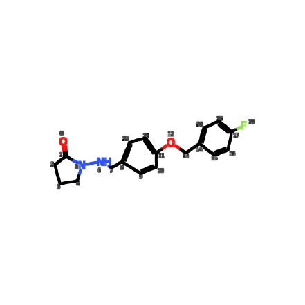 O=C1CCCN1NCc1ccc(OCc2ccc(F)cc2)cc1